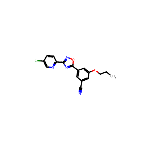 CCCOc1cc(C#N)cc(-c2nc(-c3ccc(Cl)cn3)no2)c1